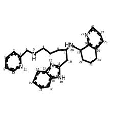 c1ccc(CNCCCC(Cc2nc3ccccc3[nH]2)NC2CCCc3cccnc32)nc1